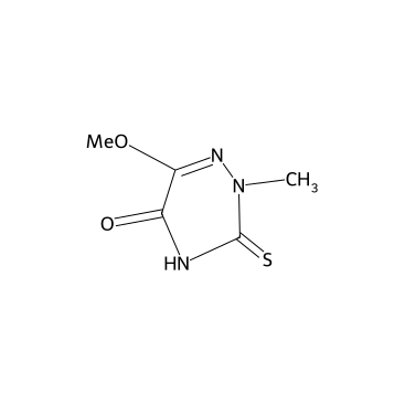 [CH2]Oc1nn(C)c(=S)[nH]c1=O